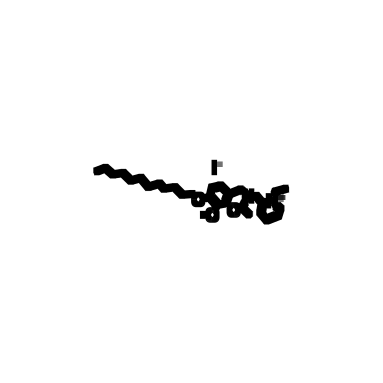 CCCCCCCCCCCCOc1ccc(CN(Cc2cccc[n+]2CC)C(C)=O)cc1OC.[I-]